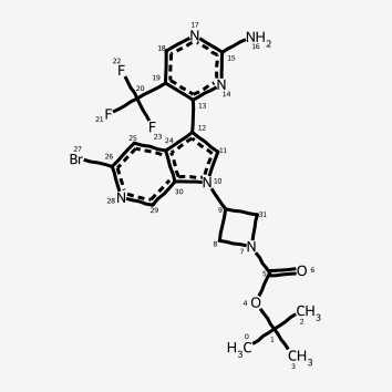 CC(C)(C)OC(=O)N1CC(n2cc(-c3nc(N)ncc3C(F)(F)F)c3cc(Br)ncc32)C1